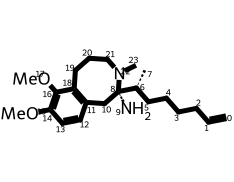 C=CCCCC[C@@H](C)[C@@]1(N)Cc2ccc(OC)c(OC)c2CCCN1C